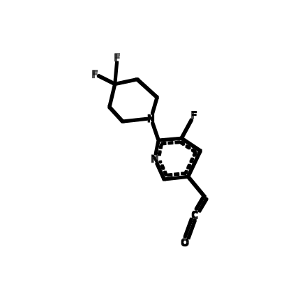 O=C=Cc1cnc(N2CCC(F)(F)CC2)c(F)c1